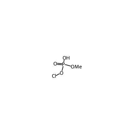 COP(=O)(O)OCl